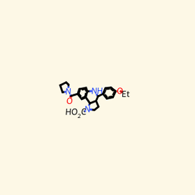 CCOc1ccc(C2Nc3ccc(C(=O)N4CCCC4)cc3C3C2CCN3C(=O)O)cc1